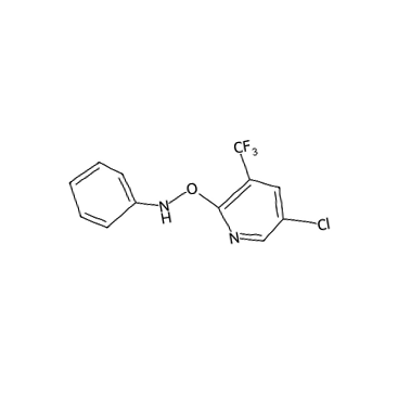 FC(F)(F)c1cc(Cl)cnc1ONc1ccccc1